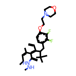 C=C/C(=C(C(=C)NNC)\C(C)=C/CC)C(Cc1ccc(OCCN2CCOCC2)c(F)c1F)C(C)(C)C